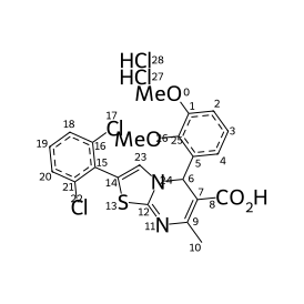 COc1cccc(C2C(C(=O)O)=C(C)N=C3SC(c4c(Cl)cccc4Cl)=CN32)c1OC.Cl.Cl